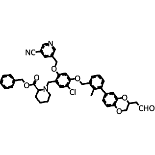 Cc1c(COc2cc(OCc3cncc(C#N)c3)c(CN3CCCC[C@H]3C(=O)OCc3ccccc3)cc2Cl)cccc1-c1ccc2c(c1)OC(CC=O)CO2